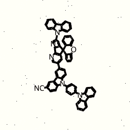 N#Cc1ccc2c(c1)c1cc(-c3cnc4c(c3)C3(c5ccccc5Oc5ccccc53)c3cc(-n5c6ccccc6c6ccccc65)cnc3-4)ccc1n2-c1ccc(-n2c3ccccc3c3ccccc32)cc1